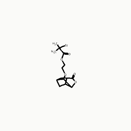 CCC(C)(C)C(=O)OCCOC1C2CC3C(=O)OC1C3C2